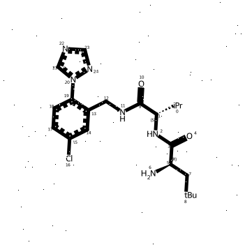 CC(C)[C@H](NC(=O)[C@H](N)CC(C)(C)C)C(=O)NCc1cc(Cl)ccc1-n1cncn1